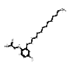 CCCCCCCCCCCCCCc1cc(Cl)ccc1OCC([NH])=O